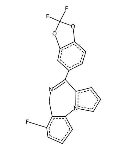 Fc1cccc2c1CN=C(c1ccc3c(c1)OC(F)(F)O3)c1cccn1-2